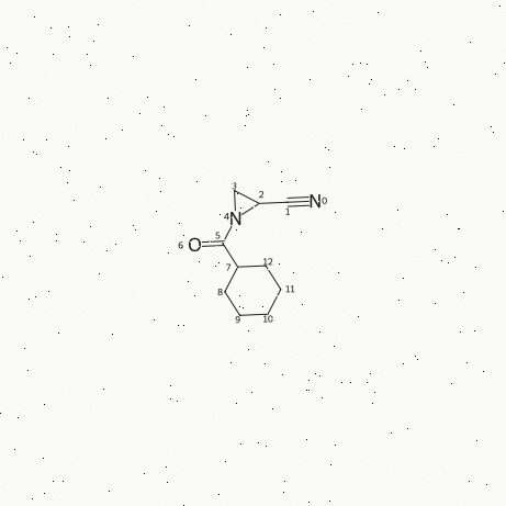 N#CC1CN1C(=O)C1CCCCC1